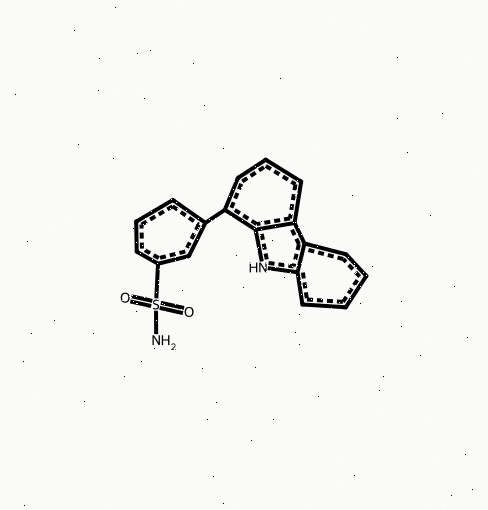 NS(=O)(=O)c1cccc(-c2cccc3c2[nH]c2ccccc23)c1